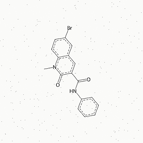 Cn1c(=O)c(C(=O)Nc2ccccc2)cc2cc(Br)ccc21